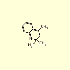 CC1=c2ccccc2=NC(C)(C)C1